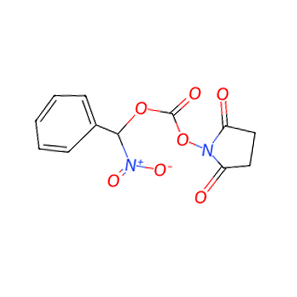 O=C(OC(c1ccccc1)[N+](=O)[O-])ON1C(=O)CCC1=O